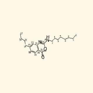 CCCCCCCCNc1nc2cc(CCCC)ccc2c(=O)o1